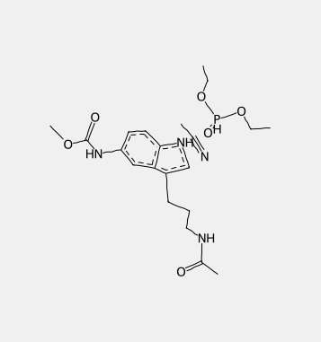 CC#N.CCO[PH](=O)OCC.COC(=O)Nc1ccc2[nH]cc(CCCNC(C)=O)c2c1